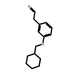 O=CCc1cccc(OCC2CCCCC2)c1